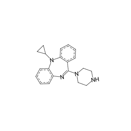 c1ccc2c(c1)N=C(N1CCNCC1)c1ccccc1N2C1CC1